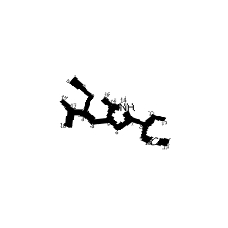 C#CC/C(=C\c1cc(/C(C=C=C)=C/C)[nH]c1C)C(=C)C